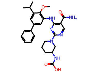 COc1c(Nc2nc(N3CCC[C@H](NC(=O)O)C3)ncc2C(N)=O)cc(-c2ccccc2)cc1C(C)C